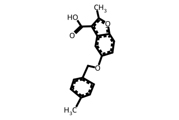 Cc1ccc(COc2ccc3oc(C)c(C(=O)O)c3c2)cc1